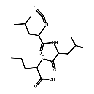 CCCC(NC(=O)C(CC(C)C)NC(=O)C(CC(C)C)N=C=O)C(=O)O